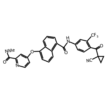 CNC(=O)c1cc(Oc2cccc3c(C(=O)Nc4ccc(C(=O)C5(C#N)CC5)c(C(F)(F)F)c4)cccc23)ccn1